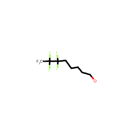 [O]CCCCCC(F)(F)C(F)(F)C(F)(F)F